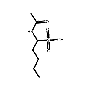 CCCCC(NC(C)=O)S(=O)(=O)O